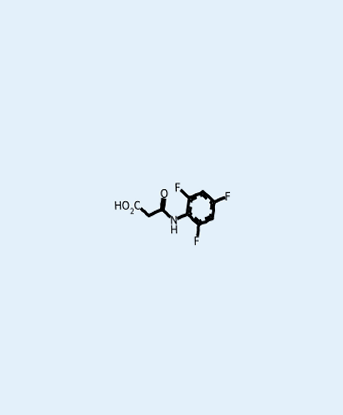 O=C(O)CC(=O)Nc1c(F)cc(F)cc1F